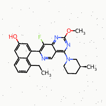 CCc1cccc2cc(O)cc(-c3ncc4c(N5CCC[C@H](C)C5)nc(OC)nc4c3F)c12